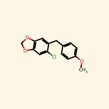 COc1ccc(Cc2cc3c(cc2Cl)OCO3)cc1